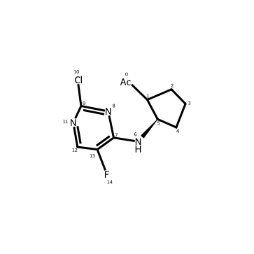 CC(=O)C1CCC[C@H]1Nc1nc(Cl)ncc1F